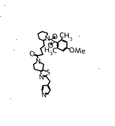 COc1cc(C)c(S(=O)(=O)N2CCCCC2CCCC(=O)N2CCc3nc(Cc4ccncc4)sc3C2)c(C)c1